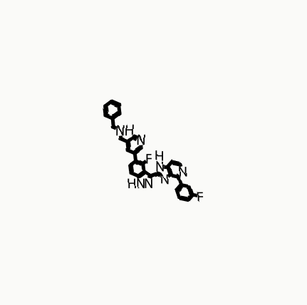 Fc1cccc(-c2nccc3[nH]c(-c4n[nH]c5ccc(-c6cncc(CNCc7ccccc7)c6)c(F)c45)nc23)c1